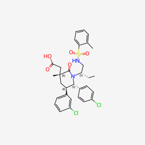 CC[C@@H](CNS(=O)(=O)c1ccccc1C)N1C(=O)[C@@](C)(CC(=O)O)C[C@H](c2cccc(Cl)c2)[C@H]1c1ccc(Cl)cc1